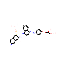 Nc1ccc2cc(SOOO)c(/N=N/c3ccc(/N=N/c4ccc(OCC(O)CO)cc4)c4ccc(S(=O)(=O)O)cc34)c(O)c2c1